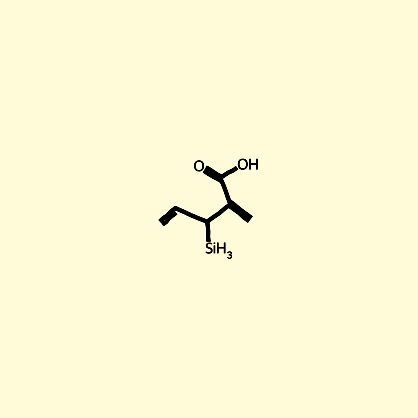 C=CC([SiH3])C(=C)C(=O)O